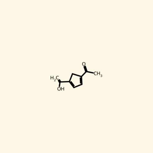 C=C(O)C1=CC=C(C(C)=O)C1